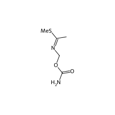 CS/C(C)=N/COC(N)=O